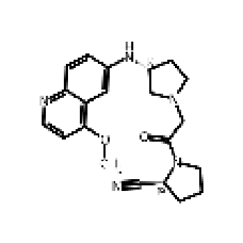 COc1ccnc2ccc(N[C@@H]3CCN(CC(=O)N4CCC[C@H]4C#N)C3)cc12